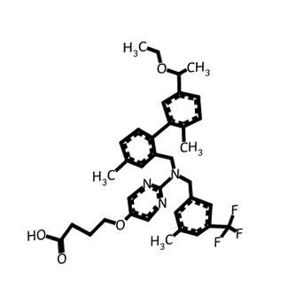 CCOC(C)c1ccc(C)c(-c2ccc(C)cc2CN(Cc2cc(C)cc(C(F)(F)F)c2)c2ncc(OCCCC(=O)O)cn2)c1